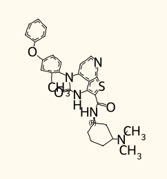 Cc1cc(Oc2ccccc2)ccc1N1C(=O)Nc2c(C(=O)N[C@@H]3CCCC(N(C)C)C3)sc3nccc1c23